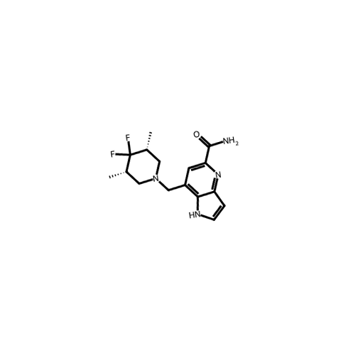 C[C@@H]1CN(Cc2cc(C(N)=O)nc3cc[nH]c23)C[C@H](C)C1(F)F